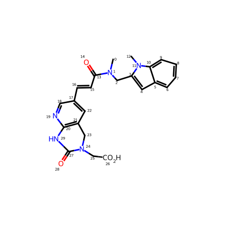 CN(Cc1cc2ccccc2n1C)C(=O)C=Cc1cnc2c(c1)CN(CC(=O)O)C(=O)N2